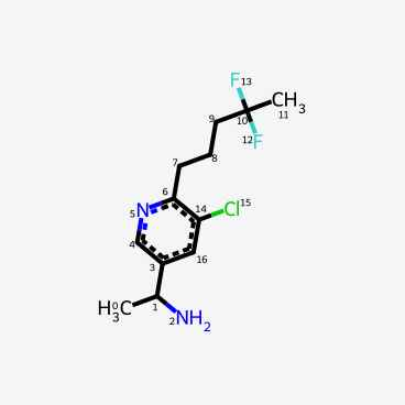 CC(N)c1cnc(CCCC(C)(F)F)c(Cl)c1